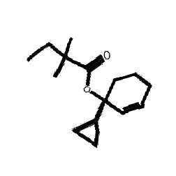 CCC(C)(C)C(=O)OC1(C2CC2)C=CCCC1